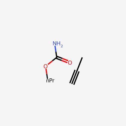 C#CC.CCCOC(N)=O